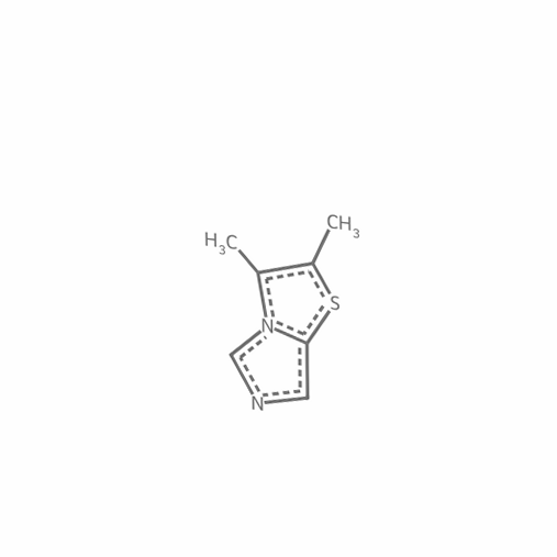 Cc1sc2cncn2c1C